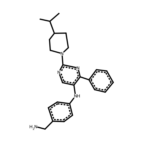 CC(C)C1CCN(c2ncc(Nc3ccc(CN)cc3)c(-c3ccccc3)n2)CC1